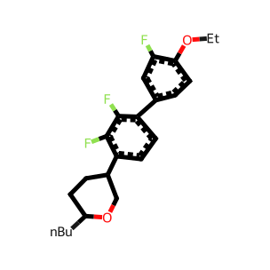 CCCCC1CCC(c2ccc(-c3ccc(OCC)c(F)c3)c(F)c2F)CO1